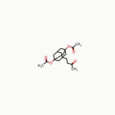 CC(=O)CCC12CC3CC(OC(C)=O)(C1)CC(OC(C)=O)(C3)C2